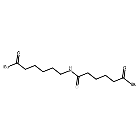 CCC(C)C(=O)CCCCCNC(=O)CCCCC(=O)C(C)CC